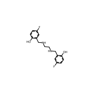 Oc1ccc(F)cc1CNCCNCc1cc(F)ccc1O